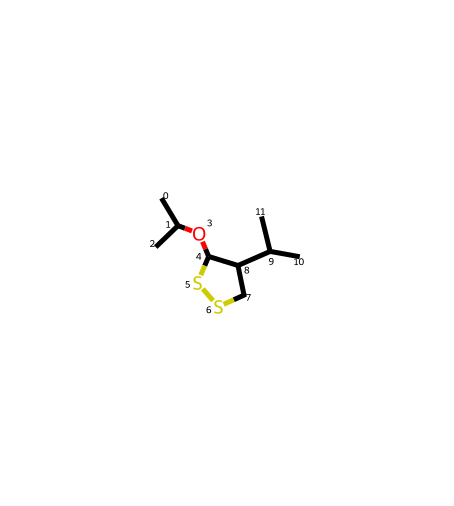 CC(C)OC1SSCC1C(C)C